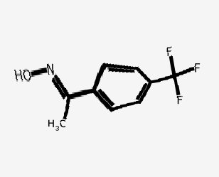 C/C(=N\O)c1ccc(C(F)(F)F)cc1